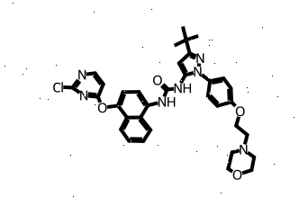 CC(C)(C)c1cc(NC(=O)Nc2ccc(Oc3ccnc(Cl)n3)c3ccccc23)n(-c2ccc(OCCN3CCOCC3)cc2)n1